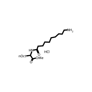 CCCCCCCCC(NC(=O)CCCCCCCCCN)C(=O)OC.Cl